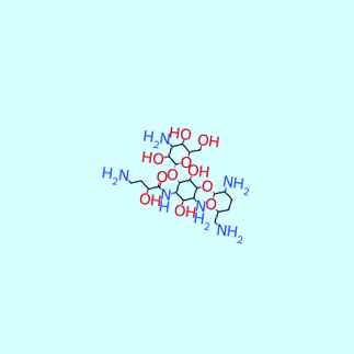 NCC[C@H](O)C(=O)NC1[C@H](O[C@H]2OC(CO)[C@H](O)C(N)[C@@H]2O)C(O)C(O[C@H]2OC(CN)CCC2N)[C@@H](N)[C@H]1O